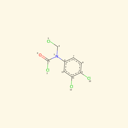 O=C(Cl)N(CCl)c1ccc(Cl)c(Cl)c1